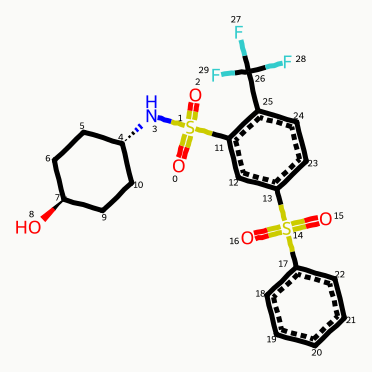 O=S(=O)(N[C@H]1CC[C@H](O)CC1)c1cc(S(=O)(=O)c2ccccc2)ccc1C(F)(F)F